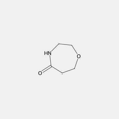 O=C1[CH]COCCN1